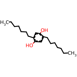 CCCCCCCc1cc(O)c(CCCCCCC)cc1O